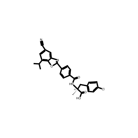 CC(C)c1cc(C#N)cc2nc(-c3ccc(C(=O)N[C@@](C)(Cc4ccc(Cl)cc4)C(=O)O)cc3)oc12